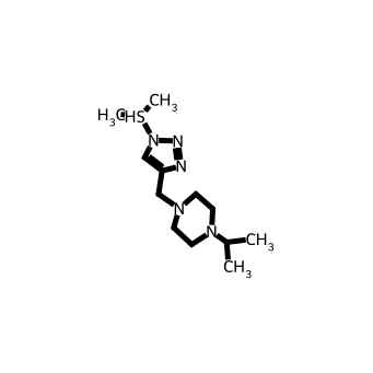 CC(C)N1CCN(Cc2cn([SH](C)C)nn2)CC1